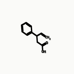 C=CC(CC(=O)O)c1ccccc1